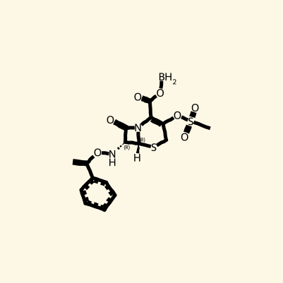 BOC(=O)C1=C(OS(C)(=O)=O)CS[C@@H]2[C@H](NOC(=C)c3ccccc3)C(=O)N12